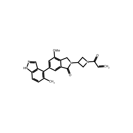 C=CC(=O)N1CC(N2Cc3c(OC)cc(-c4c(C)ccc5[nH]ncc45)cc3C2=O)C1